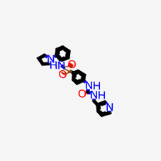 O=C(NCc1cccnc1)Nc1ccc(S(=O)(=O)Nc2ccccc2N2CCCC2)cc1